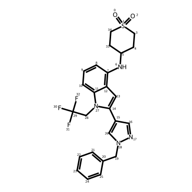 O=S1(=O)CCC(Nc2cccc3c2cc(-c2cnn(Cc4ccccc4)c2)n3CC(F)(F)F)CC1